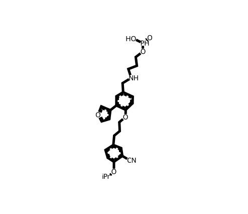 CC(C)Oc1ccc(CCCOc2ccc(CNCCCO[PH](=O)O)cc2-c2ccoc2)cc1C#N